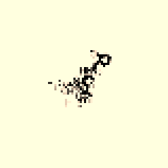 CN(C)C=NS(=O)(=O)c1cc(NC(=O)Cc2ccccc2Cl)cnc1-c1cnn(C)c1